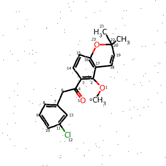 COc1c(C(=O)Cc2cccc(Cl)c2)ccc2c1C=CC(C)(C)O2